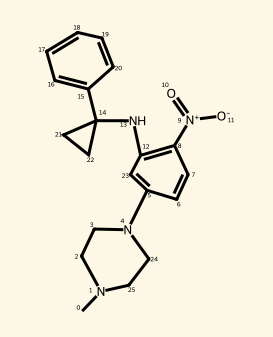 CN1CCN(c2ccc([N+](=O)[O-])c(NC3(c4ccccc4)CC3)c2)CC1